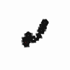 O=S(=O)(c1ccccc1)c1ccc(N2CC(CN3CCC(C(CN4CCCC4)(c4ccccc4)[C@H]4C=CCC4)CC3)C2)cc1